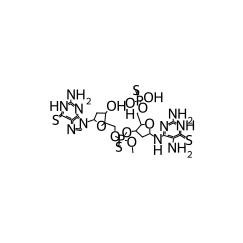 COP(=S)(OCC1OC(n2cnc3c(=S)[nH]c(N)nc32)CC1O)OC1CC(Nc2nc(N)[nH]c(=S)c2N)OC1COP(O)(O)=S